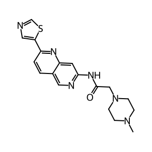 CN1CCN(CC(=O)Nc2cc3nc(-c4cncs4)ccc3cn2)CC1